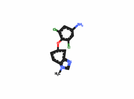 Cn1cnc2cc(Oc3c(Cl)cc(N)cc3Cl)ccc21